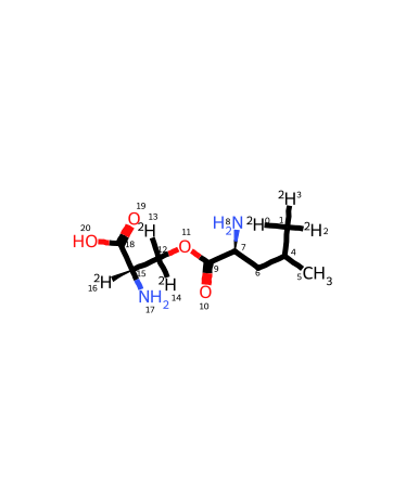 [2H]C([2H])([2H])C(C)C[C@H](N)C(=O)OC([2H])([2H])[C@]([2H])(N)C(=O)O